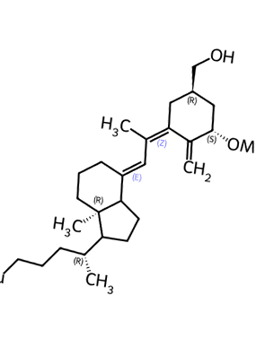 C=C1/C(=C(C)\C=C2/CCC[C@@]3(C)C2CCC3[C@H](C)CCCC(C)(C)C)C[C@@H](CO)C[C@@H]1OC